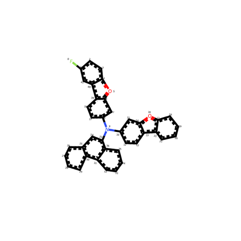 Fc1ccc2oc3cc(N(c4ccc5c(c4)oc4ccccc45)c4cc5ccccc5c5ccccc45)ccc3c2c1